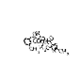 CCOC(=O)C1(Cc2cccc(C)c2)CC(CNC(=O)c2sc(C)nc2C)=NO1